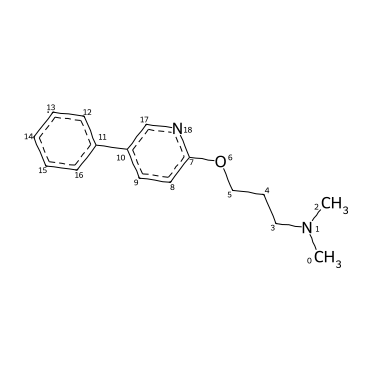 CN(C)CCCOc1ccc(-c2c[c]ccc2)cn1